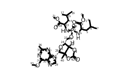 COC(=O)C(CC(C)C)NP(=O)(NC(CC(C)C)C(=O)OC)OC[C@H]1O[C@@H](n2cnc3c(OC)nc(C)nc32)C2(C)OC(=O)O[C@@H]12